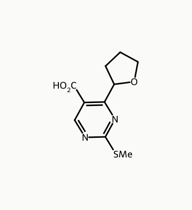 CSc1ncc(C(=O)O)c(C2CCCO2)n1